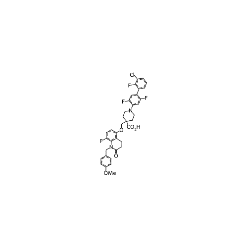 COc1ccc(CN2C(=O)CCc3c(OCC4(C(=O)O)CCN(c5cc(F)c(-c6cccc(Cl)c6F)cc5F)CC4)ccc(F)c32)cc1